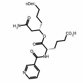 CCCCCCCCCCCCC[C@@H](CC(N)=O)OC(=O)[C@H](CCCC(=O)O)NC(=O)c1cccnc1